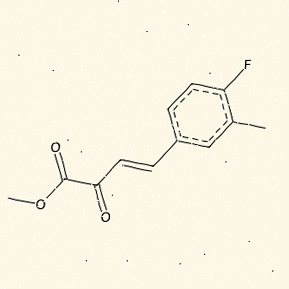 COC(=O)C(=O)C=Cc1ccc(F)c(C)c1